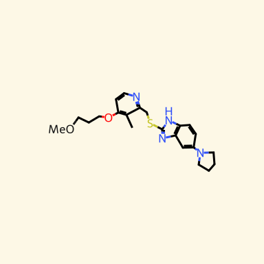 COCCCOc1ccnc(CSc2nc3cc(N4CCCC4)ccc3[nH]2)c1C